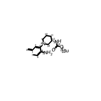 C=C/C=C(\C(N)=C/C)N1CCC[C@H](NC(=O)OC(C)(C)C)C1